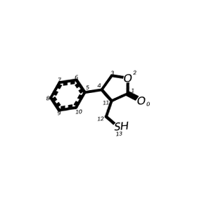 O=C1OCC(c2ccccc2)C1CS